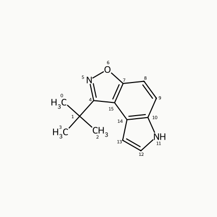 CC(C)(C)c1noc2ccc3[nH]ccc3c12